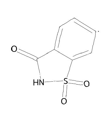 O=C1NS(=O)(=O)c2c[c]ccc21